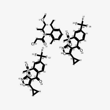 CCc1cccc(C)c1N(C(=O)CCl)C(C)COC.CS(=O)(=O)c1cc(C(F)(F)F)ccc1C(=O)c1cnoc1C1CC1.CS(=O)(=O)c1cc(C(F)(F)F)ccc1C(=O)c1cnoc1C1CC1